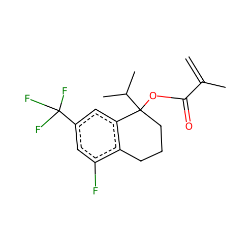 C=C(C)C(=O)OC1(C(C)C)CCCc2c(F)cc(C(F)(F)F)cc21